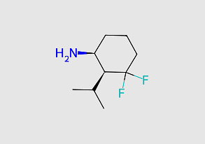 CC(C)[C@H]1[C@@H](N)CCCC1(F)F